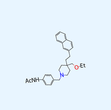 CCOCC1(CCc2ccc3ccccc3c2)CCN(Cc2ccc(NC(C)=O)cc2)CC1